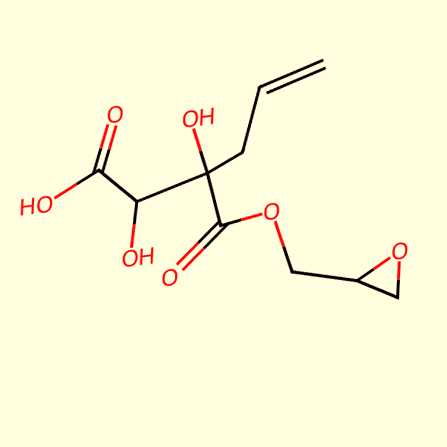 C=CCC(O)(C(=O)OCC1CO1)C(O)C(=O)O